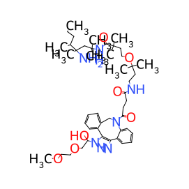 CCCC(C)C(C)(N)CC(C)(C)NC(=O)C(C)(C)CCOC(C)(C)CCNC(=O)CCC(=O)N1Cc2ccccc2-c2c(nnn2C(O)COCCOC)-c2ccccc21